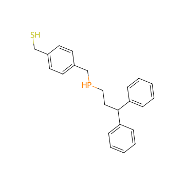 SCc1ccc(CPCCC(c2ccccc2)c2ccccc2)cc1